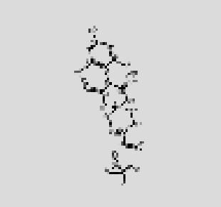 Cc1cc(Br)cc(C)c1C1C(=O)CC2(CCN(C(=O)OC(C)(C)C)CC2)CC1=O